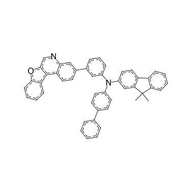 CC1(C)c2ccccc2-c2ccc(N(c3ccc(-c4ccccc4)cc3)c3cccc(-c4ccc5c(c4)ncc4oc6ccccc6c45)c3)cc21